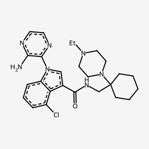 CCN1CCN(C2(CNC(=O)c3cn(-c4nccnc4N)c4cccc(Cl)c34)CCCCC2)CC1